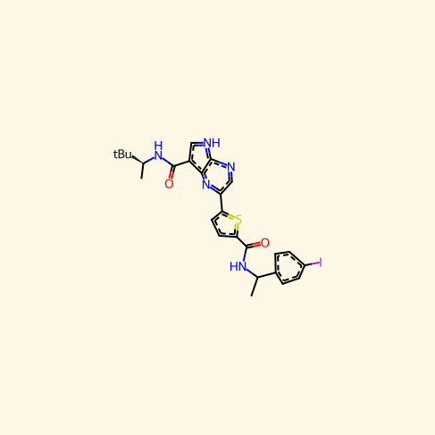 CC(NC(=O)c1ccc(-c2cnc3[nH]cc(C(=O)N[C@@H](C)C(C)(C)C)c3n2)s1)c1ccc(I)cc1